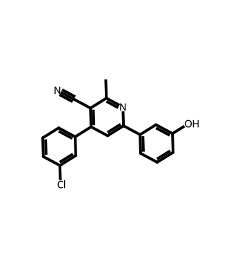 Cc1nc(-c2cccc(O)c2)cc(-c2cccc(Cl)c2)c1C#N